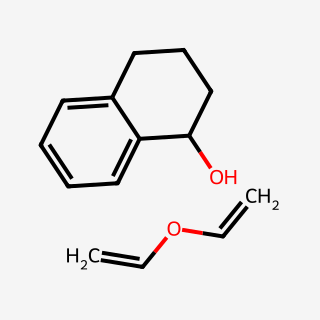 C=COC=C.OC1CCCc2ccccc21